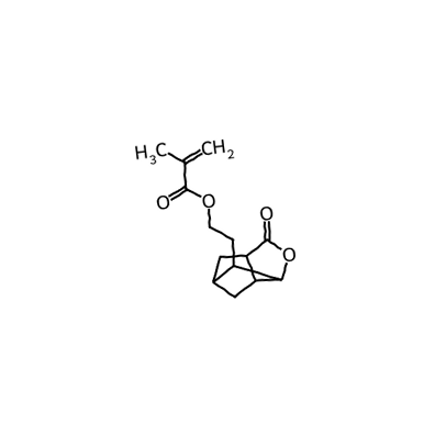 C=C(C)C(=O)OCCC1C2CC3C(=O)OC1C3C2